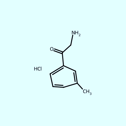 Cc1cccc(C(=O)CN)c1.Cl